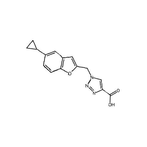 O=C(O)c1cn(Cc2cc3cc(C4CC4)ccc3o2)nn1